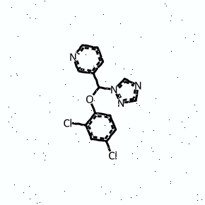 Clc1ccc(OC(c2cccnc2)n2cncn2)c(Cl)c1